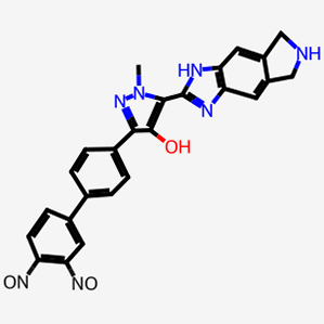 Cn1nc(-c2ccc(-c3ccc(N=O)c(N=O)c3)cc2)c(O)c1-c1nc2cc3c(cc2[nH]1)CNC3